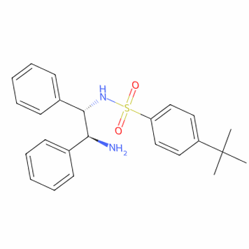 CC(C)(C)c1ccc(S(=O)(=O)N[C@@H](c2ccccc2)[C@@H](N)c2ccccc2)cc1